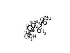 CC1CN(C(=O)OC(C)(C)C)CC2Cc3ccc(C(O)CC(F)(F)F)nc3N12